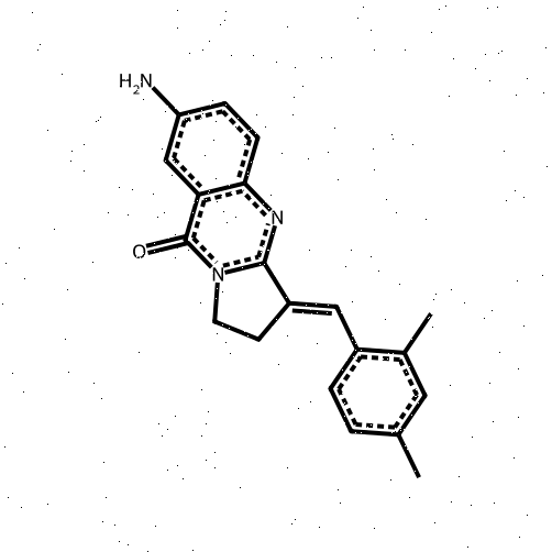 Cc1ccc(C=C2CCn3c2nc2ccc(N)cc2c3=O)c(C)c1